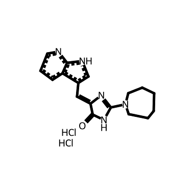 Cl.Cl.O=C1NC(N2CCCCCC2)=N/C1=C\c1c[nH]c2ncccc12